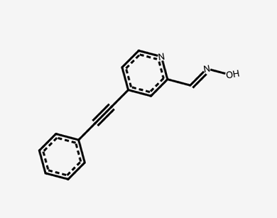 O/N=C/c1cc(C#Cc2ccccc2)ccn1